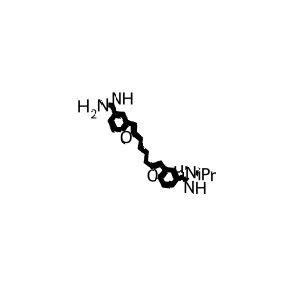 CC(C)NC(=N)c1ccc2oc(CCCCc3cc4cc(C(=N)N)ccc4o3)cc2c1